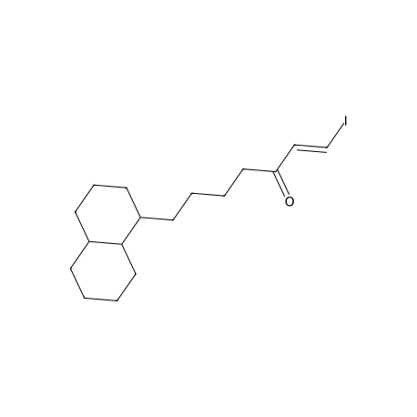 O=C(C=CI)CCCCC1CCCC2CCCCC12